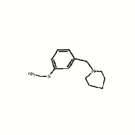 [CH2]CCSc1cccc(CN2CCCCC2)c1